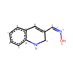 O/N=C\C1=Cc2ccccc2[N]C1